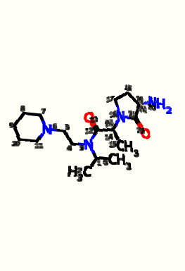 CC(C)N(CCN1CCCCC1)C(=O)[C@H](C)N1CC[C@H](N)C1=O